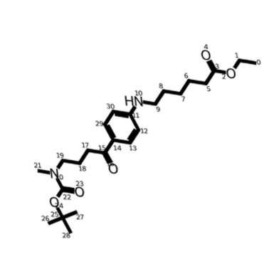 CCOC(=O)CCCCCNc1ccc(C(=O)CCCN(C)C(=O)OC(C)(C)C)cc1